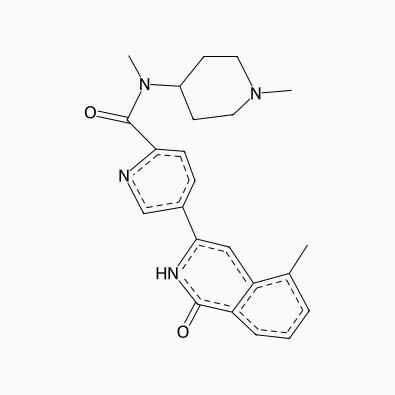 Cc1cccc2c(=O)[nH]c(-c3ccc(C(=O)N(C)C4CCN(C)CC4)nc3)cc12